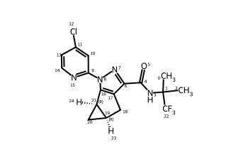 CC(C)(NC(=O)c1nn(-c2cc(Cl)ccn2)c2c1C[C@H]1C[C@@H]21)C(F)(F)F